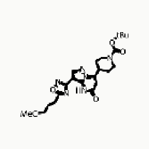 COCCCc1nc(-c2cnn3c(C4CCN(C(=O)OC(C)(C)C)CC4)cc(=O)[nH]c23)no1